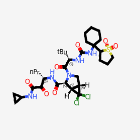 CCC[C@H](NC(=O)[C@@H]1[C@@H]2[C@H](CN1C(=O)[C@@H](NC(=O)NC1(C3CCCS3(=O)=O)CCCCC1)C(C)(C)C)C2(Cl)Cl)C(=O)C(=O)NC1CC1